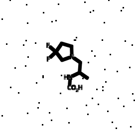 CC(CN1CCC(F)(F)C1)NC(=O)O